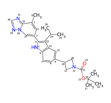 Cc1cc(-c2[nH]c3ccc(C4CN(C(=O)OC(C)(C)C)C4)cc3c2C(C)C)cn2ncnc12